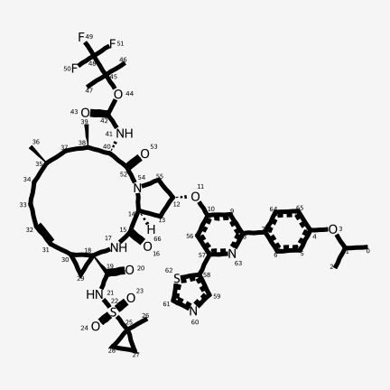 CC(C)Oc1ccc(-c2cc(O[C@@H]3C[C@H]4C(=O)N[C@]5(C(=O)NS(=O)(=O)C6(C)CC6)CC5/C=C\CC[C@@H](C)C[C@@H](C)[C@H](NC(=O)OC(C)(C)C(F)(F)F)C(=O)N4C3)cc(-c3cncs3)n2)cc1